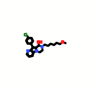 COCCCCCCN1CCn2c(c(-c3ccc(Cl)cc3)c3ncccc32)C1O